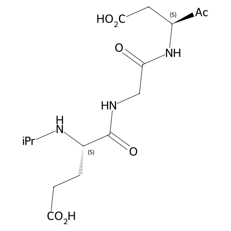 CC(=O)[C@H](CC(=O)O)NC(=O)CNC(=O)[C@H](CCC(=O)O)NC(C)C